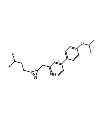 C=C/C(=C\C(=N)CC1N=C1CCC(F)F)c1ccc(OC(C)F)cc1